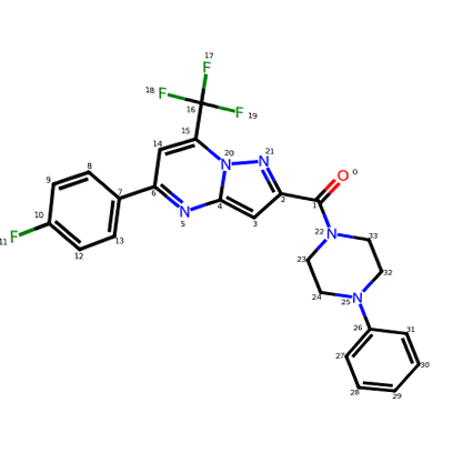 O=C(c1cc2nc(-c3ccc(F)cc3)cc(C(F)(F)F)n2n1)N1CCN(c2ccccc2)CC1